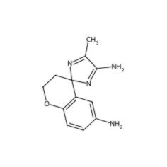 CC1=NC2(CCOc3ccc(N)cc32)N=C1N